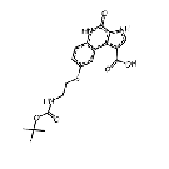 CC(C)(C)OC(=O)NCCSc1ccc2[nH]c(=O)c3[nH]cc(C(=O)O)c3c2c1